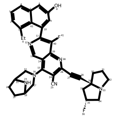 CCc1cccc2cc(O)cc(-c3ncc4c(N5CC6CCC(C5)N6)c(C#N)c(C#C[C@@]56CCCN5C[C@H](F)C6)nc4c3F)c12